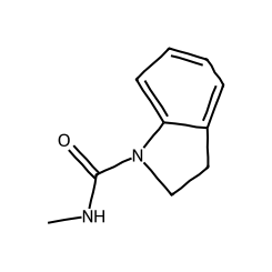 CNC(=O)N1CCc2ccccc21